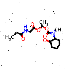 CCC(=O)NCC(=O)OC(C)OC(=O)N(C)C1CCCCC1=O